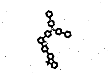 CC1(C)c2ccccc2-c2ccc(-c3ccc4c(c3)sc3c(-c5ccc(N(c6ccc(-c7ccccc7)cc6)c6ccc(-c7ccccc7)cc6)cc5)cccc34)cc21